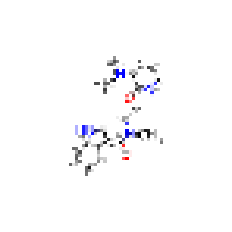 CCN(C)c1cccnc1OCCN(C)C(=O)c1c[nH]c2ccccc12